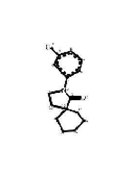 O=C1N(c2cccc(Cl)c2)CCC12CCCCC2